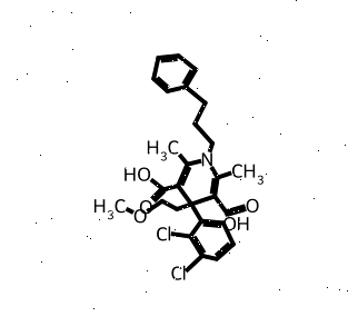 COCCC1(c2cccc(Cl)c2Cl)C(C(=O)O)=C(C)N(CCCc2ccccc2)C(C)=C1C(=O)O